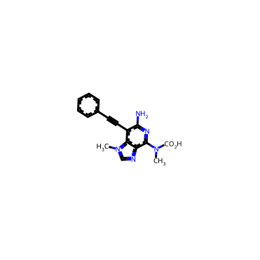 CN(C(=O)O)c1nc(N)c(C#Cc2ccccc2)c2c1ncn2C